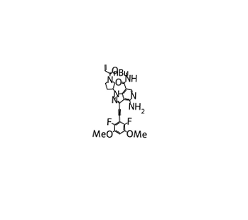 C=CC(=O)N1CCC(n2nc(C#Cc3c(F)c(OC)cc(OC)c3F)c3c(N)ncc(C(=O)NCCCC)c32)C1